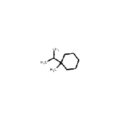 C[C](C)C1(C)CCCCC1